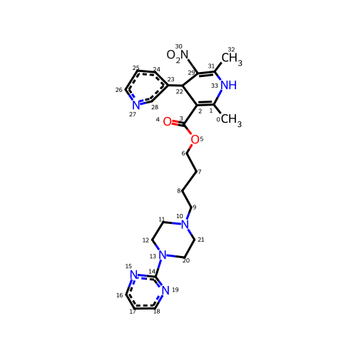 CC1=C(C(=O)OCCCCN2CCN(c3ncccn3)CC2)C(c2cccnc2)C([N+](=O)[O-])=C(C)N1